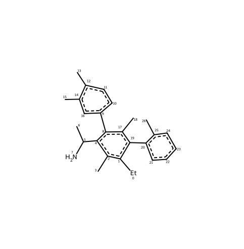 CCc1c(C)c(C(C)N)c(-c2ccc(C)c(C)c2)c(C)c1-c1ccccc1C